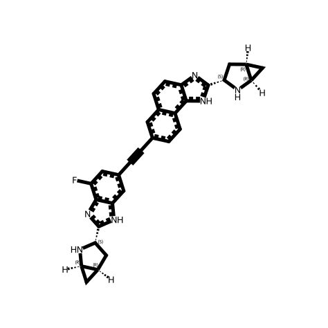 Fc1cc(C#Cc2ccc3c(ccc4nc([C@@H]5C[C@H]6C[C@H]6N5)[nH]c43)c2)cc2[nH]c([C@@H]3C[C@H]4C[C@H]4N3)nc12